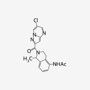 CC(=O)Nc1cccc2c1CCN(C(=O)c1cc3ncc(Cl)cn3n1)C2C